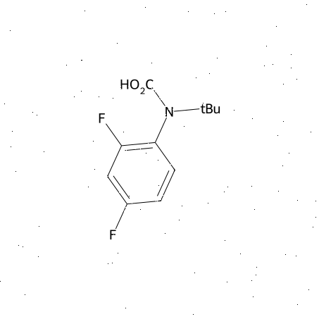 CC(C)(C)N(C(=O)O)c1ccc(F)cc1F